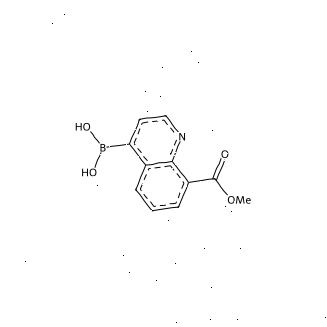 COC(=O)c1cccc2c(B(O)O)ccnc12